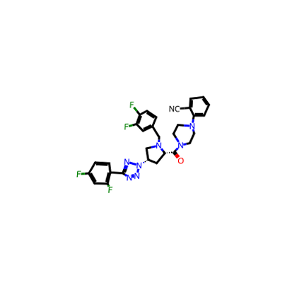 N#Cc1ccccc1N1CCN(C(=O)[C@@H]2C[C@H](n3nnc(-c4ccc(F)cc4F)n3)CN2Cc2ccc(F)c(F)c2)CC1